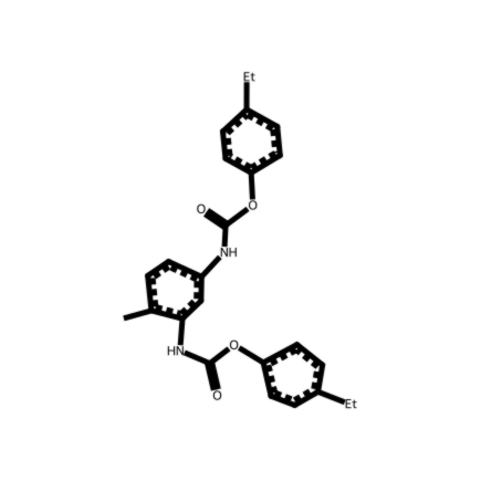 CCc1ccc(OC(=O)Nc2ccc(C)c(NC(=O)Oc3ccc(CC)cc3)c2)cc1